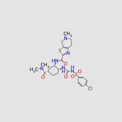 CN1CCc2nc(C(=O)N[C@@H]3C[C@@H](C(=O)N(C)C)CC[C@@H]3NC(=O)NS(=O)(=O)c3ccc(Cl)cc3)sc2C1